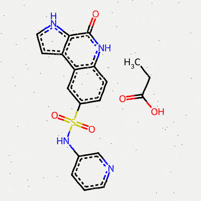 CCC(=O)O.O=c1[nH]c2ccc(S(=O)(=O)Nc3cccnc3)cc2c2cc[nH]c12